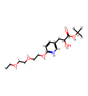 CCOCCOCCOc1ccc(CC(O)C(=O)OC(C)(C)C)cn1